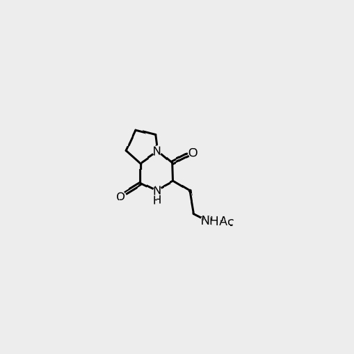 CC(=O)NCCC1NC(=O)C2CCCN2C1=O